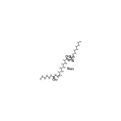 CCCCCCCCOS(=O)(=O)OC(=O)CCCCCCC/C=C\C[C@H](O)CCCCCC.[NaH]